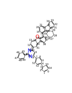 c1ccc(-c2ccc(-c3cc(-c4ccc5oc6c(-c7cccc8c7C7(CCCCC7)c7ccccc7-8)cccc6c5c4)nc(-c4ccccc4)n3)cc2)cc1